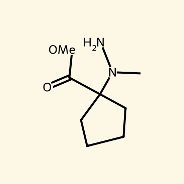 COC(=O)C1(N(C)N)CCCC1